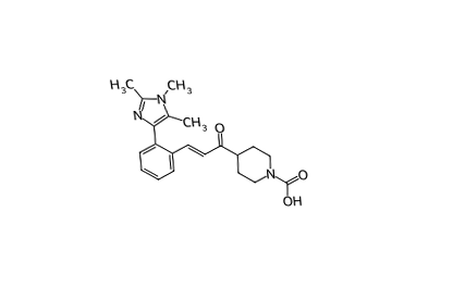 Cc1nc(-c2ccccc2C=CC(=O)C2CCN(C(=O)O)CC2)c(C)n1C